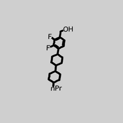 CCCC1CCC(C2CCC(c3ccc(CO)c(F)c3F)CC2)CC1